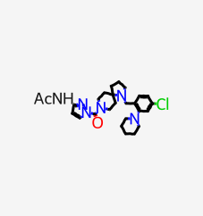 CC(=O)Nc1ccn(C(=O)N2CCC3(CCCN3Cc3ccc(Cl)cc3N3CCCCC3)CC2)n1